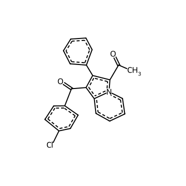 CC(=O)c1c(-c2ccccc2)c(C(=O)c2ccc(Cl)cc2)c2ccccn12